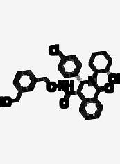 O=C(NOCc1cccc(CO)c1)[C@@H]1c2ccccc2C(=O)N([C@H]2CCCC[C@@H]2O)[C@H]1c1ccc(Cl)cc1